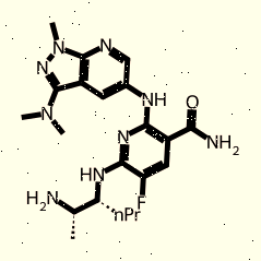 CCC[C@@H](Nc1nc(Nc2cnc3c(c2)c(N(C)C)nn3C)c(C(N)=O)cc1F)[C@H](C)N